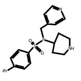 CC(C)c1ccc(S(=O)(=O)N(Cc2ccncc2)C2CCNCC2)cc1